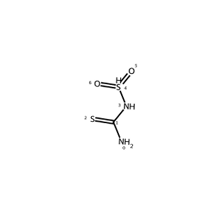 NC(=S)N[SH](=O)=O